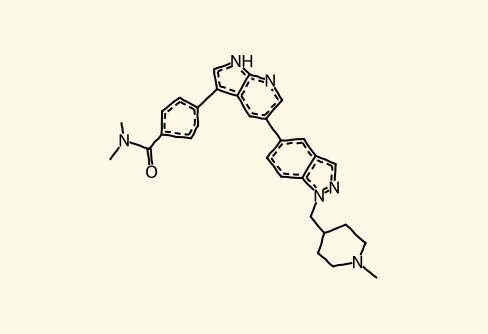 CN1CCC(Cn2ncc3cc(-c4cnc5[nH]cc(-c6ccc(C(=O)N(C)C)cc6)c5c4)ccc32)CC1